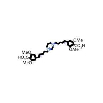 COc1cc(/C=C/CCCN2CCCN(CCC/C=C/c3cc(OC)c(C(=O)O)c(OC)c3)CC2)cc(OC)c1C(=O)O